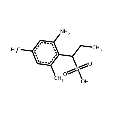 CCC(c1c(C)cc(C)cc1N)S(=O)(=O)O